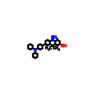 CC1(C)c2cc(O)ccc2N(N)c2ccc(-c3ccc(N(c4ccccc4)c4ccccc4)cc3)cc21